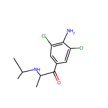 CC(C)NC(C)C(=O)c1cc(Cl)c(N)c(Cl)c1